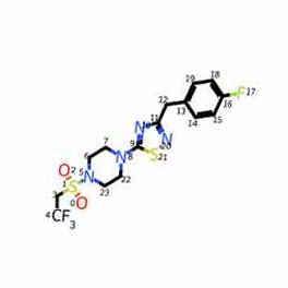 O=S(=O)(CC(F)(F)F)N1CCN(c2nc(Cc3ccc(F)cc3)ns2)CC1